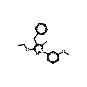 CCOc1nn(-c2cccc(OC)c2)c(C)c1Cc1ccccc1